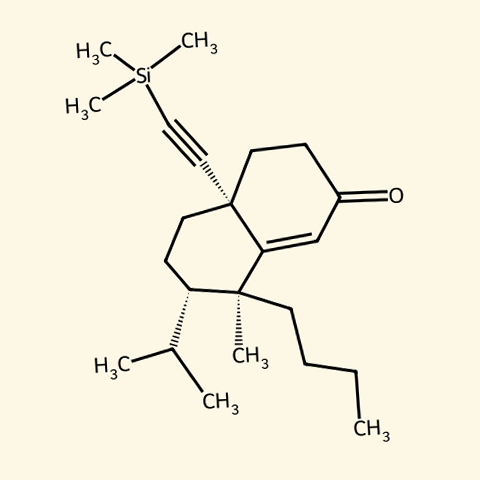 CCCC[C@]1(C)C2=CC(=O)CC[C@]2(C#C[Si](C)(C)C)CC[C@H]1C(C)C